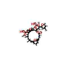 C=C1C[C@H](C)C[C@@H]2CC=C[C@@H](C/C=C\C(=O)O[C@H]([C@H](/C=C/[C@@H]3CC(C)=CCO3)OC(O)OC)C[C@@H]3O[C@H]3[C@@H](OC(O)OC)C1)O2